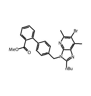 CCCCc1nc2c(C)c(Br)c(C)nc2n1Cc1ccc(-c2ccccc2C(=O)OC)cc1